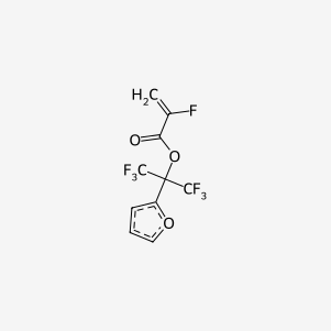 C=C(F)C(=O)OC(c1ccco1)(C(F)(F)F)C(F)(F)F